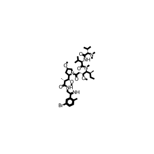 CC[C@H](C)[C@@H]([C@@H](CC(=O)N1C[C@H](OC)CC1[C@H](OC)[C@@H](C)C(=O)NCC(=N)c1cc(Br)ccc1C)OC)N(C)C(=O)[C@@H](NC(=O)[C@H](C(C)C)N(C)C)C(C)C